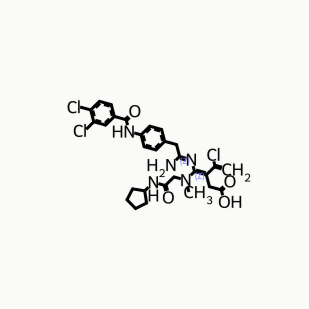 C=C(Cl)/C(CC(=O)O)=C(\N=C(/N)Cc1ccc(NC(=O)c2ccc(Cl)c(Cl)c2)cc1)N(C)CC(=O)NC1CCCC1